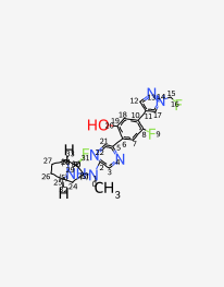 CN(c1cnc(-c2cc(F)c(-c3cnn(CF)c3)cc2O)cn1)[C@H]1C[C@@H]2CC[C@@H](N2)[C@H]1F